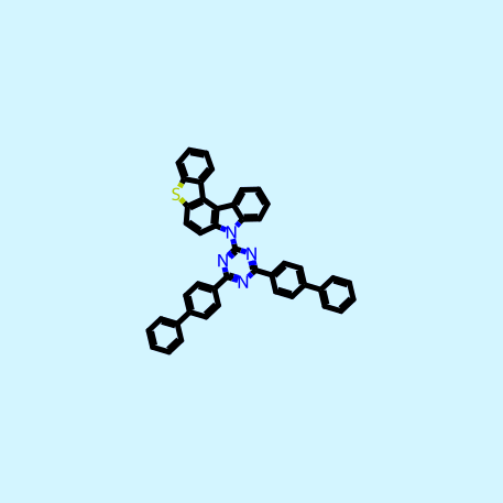 c1ccc(-c2ccc(-c3nc(-c4ccc(-c5ccccc5)cc4)nc(-n4c5ccccc5c5c6c(ccc54)sc4ccccc46)n3)cc2)cc1